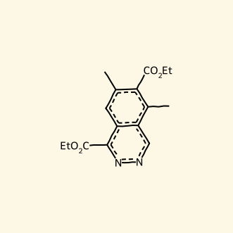 CCOC(=O)c1c(C)cc2c(C(=O)OCC)nncc2c1C